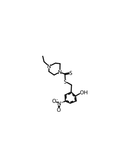 CCN1CCN(C(=S)SCc2cc([N+](=O)[O-])ccc2O)CC1